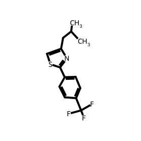 CC(C)Cc1csc(-c2ccc(C(F)(F)F)cc2)n1